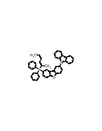 C/C=C\C=C(/C)[Si](c1ccccc1)(c1ccccc1)c1ccc2oc3ccc(-n4c5ccccc5c5ccccc54)cc3c2c1